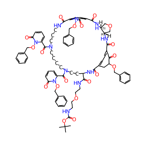 CC(C)(C)OC(=O)NCCOCCNC(=O)C1CCN(C(=O)c2cccc(=O)n2OCc2ccccc2)CCCCN(C(=O)c2cccc(=O)n2OCc2ccccc2)CCCNC(=O)c2ccc(c(=O)n2OCc2ccccc2)C(=O)N[C@@H]2COC[C@@H]2NC(=O)C2=CC=C(CC(OCc3ccccc3)C2=O)C(=O)N1